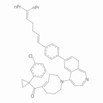 CCCC(=CCC/C=C/c1ccc(C2=CCC3=CN=CC=C(N4CC/C=C(\C(=O)C5(c6cccc(Cl)c6)CC5)CCC4)C3=C2)cc1)CCC